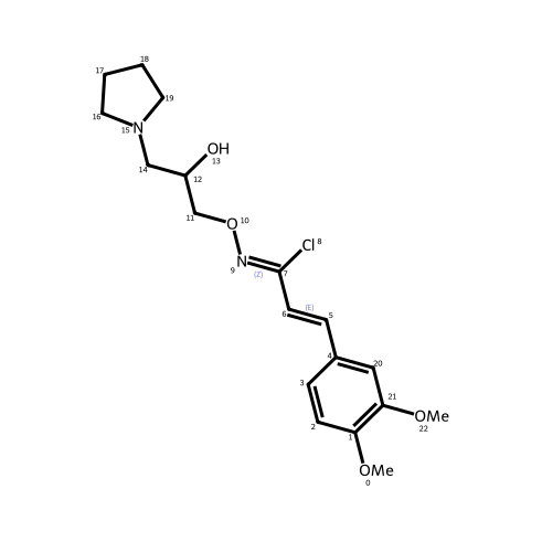 COc1ccc(/C=C/C(Cl)=N/OCC(O)CN2CCCC2)cc1OC